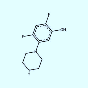 Oc1cc(N2CCNCC2)c(F)cc1F